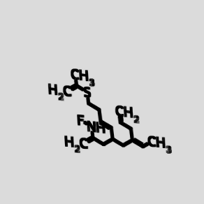 C=CC/C(=C\C)CC(/C=C/CCSC(=C)C)CC(=C)NF